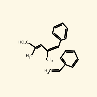 C=Cc1ccccc1.CC(=Cc1ccccc1)C=C(C)C(=O)O